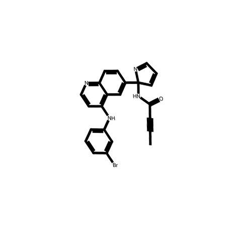 CC#CC(=O)NC1(c2ccc3nccc(Nc4cccc(Br)c4)c3c2)C=CC=N1